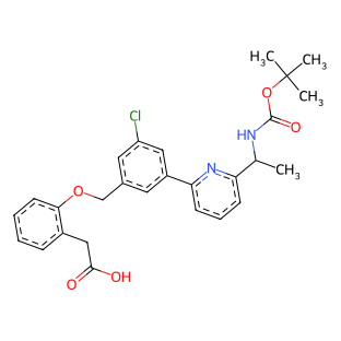 CC(NC(=O)OC(C)(C)C)c1cccc(-c2cc(Cl)cc(COc3ccccc3CC(=O)O)c2)n1